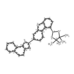 CC1(C)OB(c2cccc3oc4cc(-c5nc6ccc7ccccc7c6s5)ccc4c23)OC1(C)C